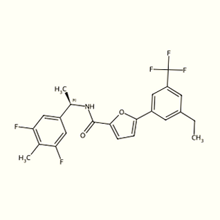 CCc1cc(-c2ccc(C(=O)N[C@H](C)c3cc(F)c(C)c(F)c3)o2)cc(C(F)(F)F)c1